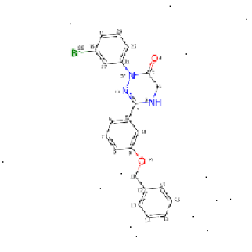 O=C1CNC(c2cccc(OCc3ccccc3)c2)=NN1c1cccc(Br)c1